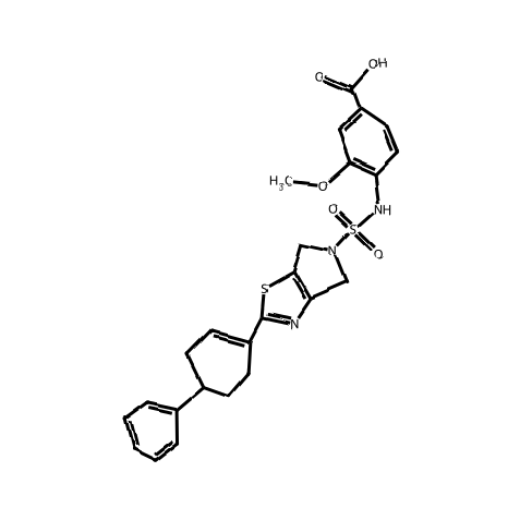 COc1cc(C(=O)O)ccc1NS(=O)(=O)N1Cc2nc(C3=CCC(c4ccccc4)CC3)sc2C1